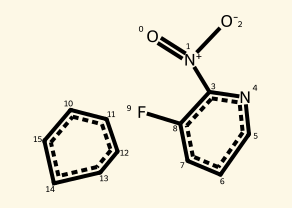 O=[N+]([O-])c1ncccc1F.c1ccccc1